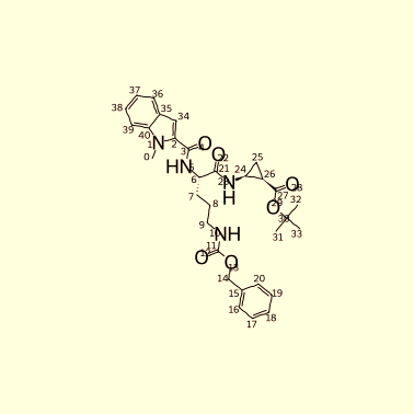 Cn1c(C(=O)N[C@@H](CCCNC(=O)OCc2ccccc2)C(=O)N[C@H]2C[C@H]2C(=O)OC(C)(C)C)cc2ccccc21